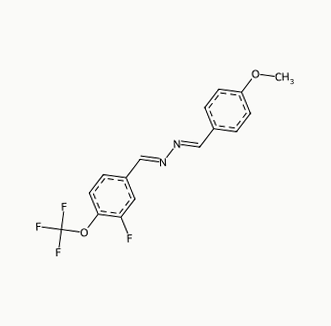 COc1ccc(C=NN=Cc2ccc(OC(F)(F)F)c(F)c2)cc1